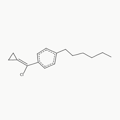 CCCCCCc1ccc(C(Cl)=C2CC2)cc1